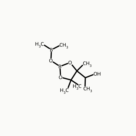 CB(C)OB1OC(C)(C)C(C)(C(C)O)O1